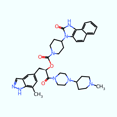 Cc1cc(C[C@@H](OC(=O)N2CCC(n3c(=O)[nH]c4c5ccccc5ccc43)CC2)C(=O)N2CCN(C3CCN(C)CC3)CC2)cc2cn[nH]c12